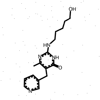 Cc1nc(NCCCCCO)[nH]c(=O)c1Cc1cccnc1